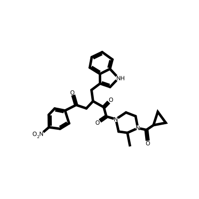 CC1CN(C(=O)C(=O)C(CC(=O)c2ccc([N+](=O)[O-])cc2)Cc2c[nH]c3ccccc23)CCN1C(=O)C1CC1